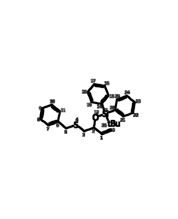 C=CC(CSCc1ccccc1)O[Si](c1ccccc1)(c1ccccc1)C(C)(C)C